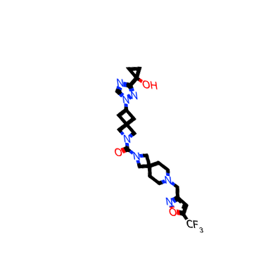 O=C(N1CC2(CCN(Cc3cc(C(F)(F)F)on3)CC2)C1)N1CC2(CC(n3cnc(C4(O)CC4)n3)C2)C1